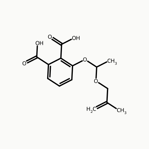 C=C(C)COC(C)Oc1cccc(C(=O)O)c1C(=O)O